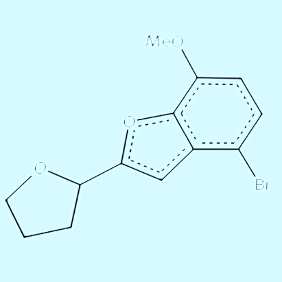 COc1ccc(Br)c2cc(C3CCCO3)oc12